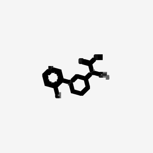 CN(C(=O)O)C1CCCN(c2cnccc2Cl)C1